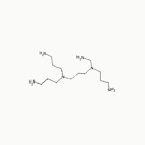 NCCCN(CN)CCCN(CCCN)CCCN